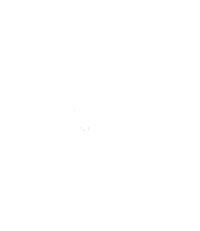 CCCC(N)c1cccc(C(F)(F)F)c1